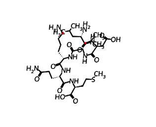 CSCC[C@H](NC(=O)[C@H](CCC(N)=O)NC(=O)[C@H](CCCCN)NC(=O)[C@H](CC(C)C)NC(=O)[C@H](CC(=O)O)NC(=O)[C@@H](N)CC(C)C)C(=O)O